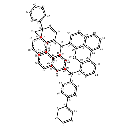 C1=CCCC(c2ccc(N(c3ccc(-c4ccccc4)cc3)c3cccc4c3Oc3c(N(C5=CC6CC6(c6ccccc6)C=C5)c5cccc6ccccc56)ccc5cccc-4c35)cc2)=C1